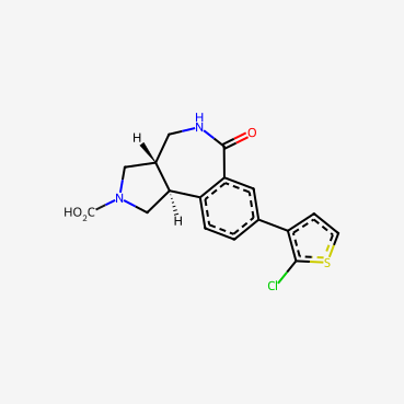 O=C1NC[C@H]2CN(C(=O)O)C[C@@H]2c2ccc(-c3ccsc3Cl)cc21